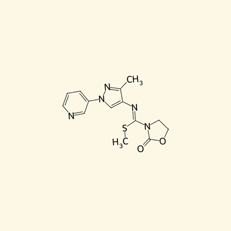 CSC(=Nc1cn(-c2cccnc2)nc1C)N1CCOC1=O